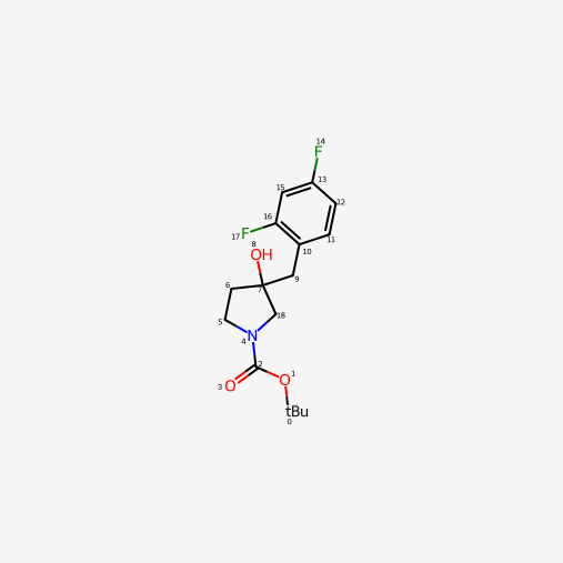 CC(C)(C)OC(=O)N1CCC(O)(Cc2ccc(F)cc2F)C1